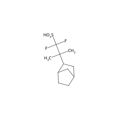 CC(C)(C1CC2CCC1C2)C(F)(F)S(=O)(=O)O